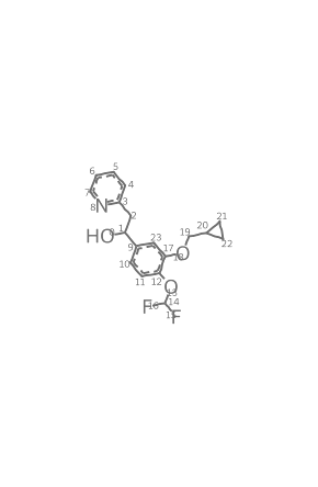 OC(Cc1ccccn1)c1ccc(OC(F)F)c(OCC2CC2)c1